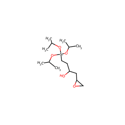 CC(C)O[Si](CCC(O)CC1CO1)(OC(C)C)OC(C)C